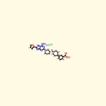 Cl.Nc1nc(N2CCC[C@@H](CN3CCC(c4cccc(C(=O)O)c4)CC3)C2)nc2nc(-c3ccco3)nn12